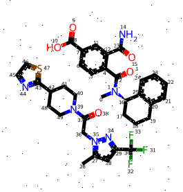 CN(C(=O)c1ccc(C(=O)O)cc1C(N)=O)[C@@H]1CCCc2ccccc21.Cc1cc(C(F)(F)F)nn1CC(=O)N1CCC(c2nccs2)CC1